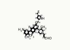 Cc1cc(N)nc(-c2c(F)cc3c(N4CCN(C=CC=O)C[C@@H]4C)nc(OC[C@@H]4C[C@@H](CF)CN4)nc3c2F)c1C(F)(F)F